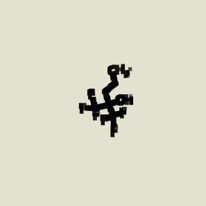 [CH2]CCC(O)(C(F)(F)F)C(F)(F)F